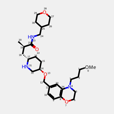 COCCCN1CCOc2ccc(CO[C@@H]3CC[C@@H](C[C@@H](C)C(=O)NCC4CCOCC4)NC3)cc21